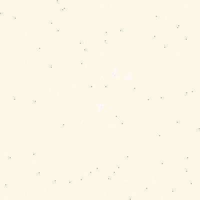 CC1(C)c2ccccc2-c2c1c1c3ccccc3n(-c3cccc(-c4nc(-c5ccccc5)c5ccccc5n4)c3)c1c1oc3ccccc3c21